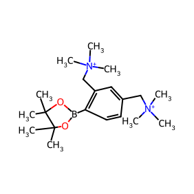 CC1(C)OB(c2ccc(C[N+](C)(C)C)cc2C[N+](C)(C)C)OC1(C)C